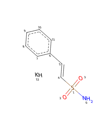 NS(=O)(=O)C=Cc1ccccc1.[KH]